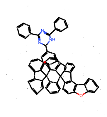 c1ccc(C2=NC(c3cccc(-c4cccc5c4C4(c6ccccc6C6(c7ccccc7-c7ccccc76)c6ccccc64)c4ccc6oc7ccccc7c6c4-5)c3)NC(c3ccccc3)=N2)cc1